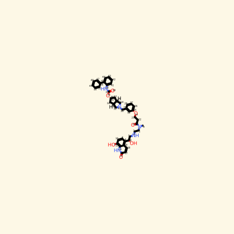 CN(CCNCC(O)c1ccc(O)c2[nH]c(=O)ccc12)C(=O)CCOc1cccc(CN2C[C@H]3C[C@H](OC(=O)Nc4ccccc4-c4ccccc4)C[C@H]3C2)c1